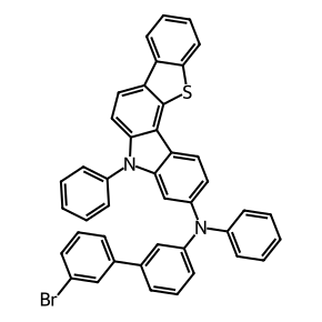 Brc1cccc(-c2cccc(N(c3ccccc3)c3ccc4c5c6sc7ccccc7c6ccc5n(-c5ccccc5)c4c3)c2)c1